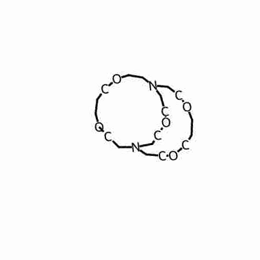 C1COCCN2CCOCCCOCCN(CCOC1)CCOCC2